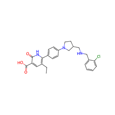 CCc1cc(C(=O)O)c(=O)[nH]c1-c1ccc(N2CCC(CNCc3ccccc3Cl)C2)cc1